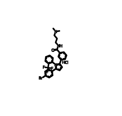 CN(C)CCCNC(=O)c1cccc(-c2ccc(-c3ccc(Br)cc3)n2-c2ccccc2C(F)(F)F)c1.Cl